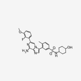 COc1cccc(-c2cn3c(-c4cc(S(=O)(=O)NC5CCC(O)CC5)ccc4C)cnc3c(N)n2)c1F